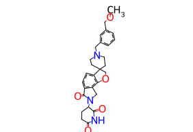 COCc1cccc(CN2CCC3(CC2)COc2c3ccc3c2CN(C2CCC(=O)NC2=O)C3=O)c1